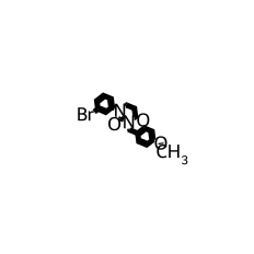 COc1ccc(CN2C(=O)CCN(c3cccc(Br)c3)C2=O)cc1